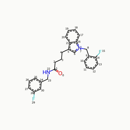 O=C(CCCc1cn(Cc2ccccc2F)c2ccccc12)NCc1cccc(F)c1